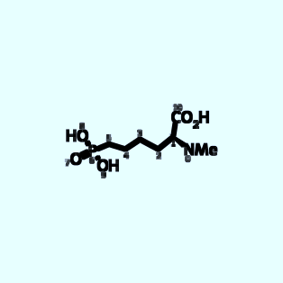 CN[C@@H](CCCCP(=O)(O)O)C(=O)O